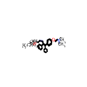 CC(C)[Si](C)(C)OCC/C=C\C(=C(c1ccccc1)c1ccc(OCCN(C)C)cc1)c1ccccc1